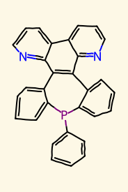 c1ccc(P2c3ccccc3-c3c(c4ncccc4c4cccnc34)-c3ccccc32)cc1